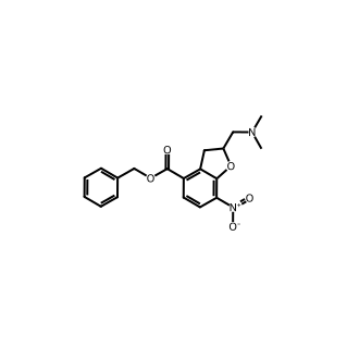 CN(C)CC1Cc2c(C(=O)OCc3ccccc3)ccc([N+](=O)[O-])c2O1